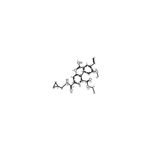 C=Cc1cc(C(=O)O)c(-c2ccc(C(=O)NCC3CC3)nc2C(=O)OCC)cc1OC